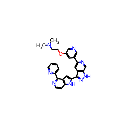 CN(C)CCOc1cncc(-c2cc3c(-c4cc5c(-c6ccccn6)nccc5[nH]4)n[nH]c3cn2)c1